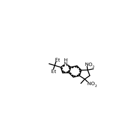 CCC(C)(CC)c1cc2cc3c(cc2[nH]1)C(C)([N+](=O)[O-])CC3(C)[N+](=O)[O-]